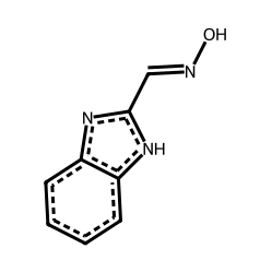 ON=Cc1nc2ccccc2[nH]1